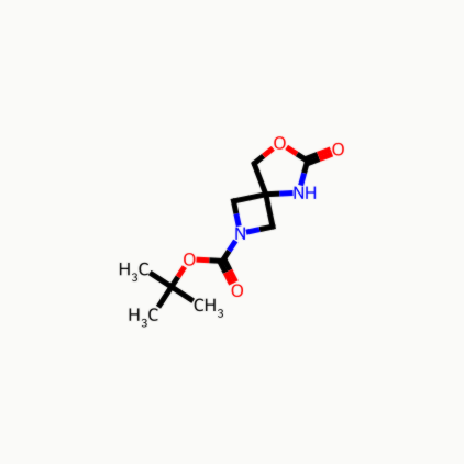 CC(C)(C)OC(=O)N1CC2(COC(=O)N2)C1